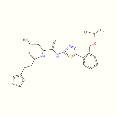 CCCC(NC(=O)CCc1ccsc1)C(=O)Nc1ncc(-c2ccccc2COC(C)C)s1